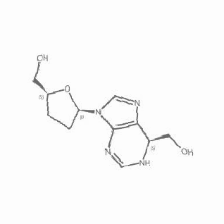 OC[C@@H]1CC[C@H](n2cnc3c2N=CN[C@@H]3CO)O1